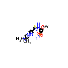 CC(C)Oc1ccc(S(N)(=O)=O)cc1Nc1nc(-c2ccc(N3CCC(N(C)C)CC3)nc2)cs1